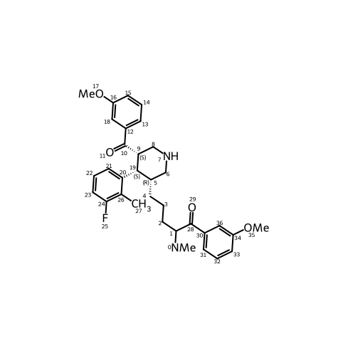 CNC(CCC[C@H]1CNC[C@@H](C(=O)c2cccc(OC)c2)[C@H]1c1cccc(F)c1C)C(=O)c1cccc(OC)c1